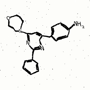 Nc1ccc(-c2cc(N3CCOCC3)nc(-c3ccccc3)n2)cc1